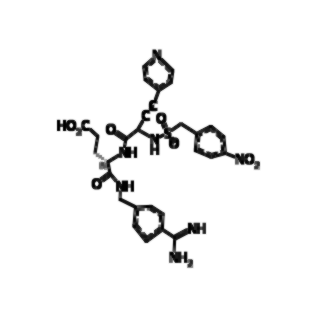 N=C(N)c1ccc(CNC(=O)[C@H](CCC(=O)O)NC(=O)C(CCc2ccncc2)NS(=O)(=O)Cc2ccc([N+](=O)[O-])cc2)cc1